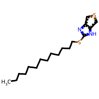 CCCCCCCCCCCCCSc1nc2cscc2[nH]1